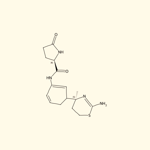 C[C@@]1(C2C=C(NC(=O)[C@H]3CCC(=O)N3)C=CC2)CCSC(N)=N1